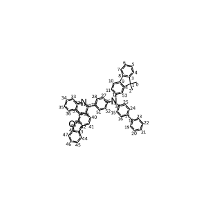 CC1(C)c2ccccc2-c2ccc(N(c3ccc(-c4ccccc4)cc3)c3ccc(-c4nc5ccccc5c5c4ccc4c6ccccc6oc45)cc3)cc21